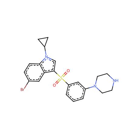 O=S(=O)(c1cccc(N2CCNCC2)c1)c1cn(C2CC2)c2ccc(Br)cc12